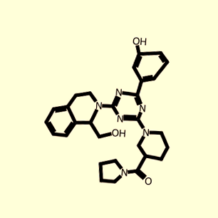 O=C(C1CCCN(c2nc(-c3cccc(O)c3)nc(N3CCc4ccccc4C3CO)n2)C1)N1CCCC1